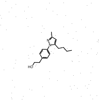 CCCCc1cc(C)nn1-c1ccc(CCO)cc1